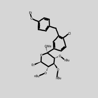 CCCCO[C@H]1[C@H](OCCCC)[C@@H](CC)O[C@@](OC)(c2ccc(Cl)c(Cc3ccc(OCC)cc3)c2)[C@@H]1OCCCC